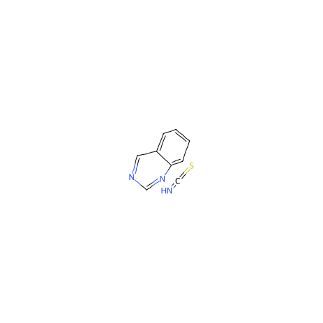 N=C=S.c1ccc2ncncc2c1